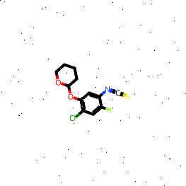 Fc1cc(Cl)c(OC2CCCCO2)cc1N=C=S